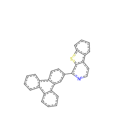 c1ccc2c(c1)sc1c(-c3ccc4c5ccccc5c5ccccc5c4c3)nccc12